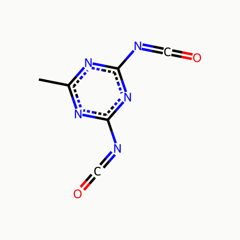 Cc1nc(N=C=O)nc(N=C=O)n1